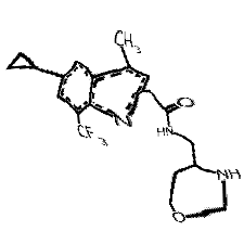 Cc1cc(C(=O)NCC2COCCN2)nc2c(C(F)(F)F)cc(C3CC3)cc12